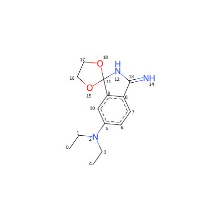 CCN(CC)c1ccc2c(c1)C1(NC2=N)OCCO1